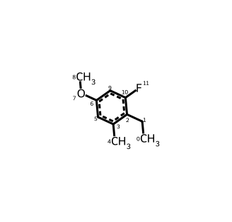 CCc1c(C)cc(OC)cc1F